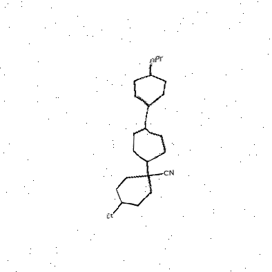 CCCC1CCC(C2CCC(C3(C#N)CCC(CC)CC3)CC2)CC1